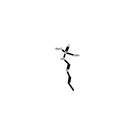 CC=CN=CNP(=S)(OC)SC